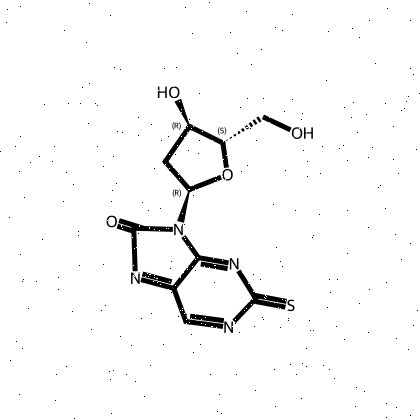 O=C1N=C2C=NC(=S)N=C2N1[C@H]1C[C@@H](O)[C@H](CO)O1